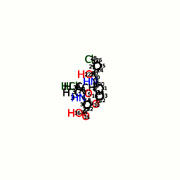 CC(C)(C)C(=O)Nc1cc(Oc2ccc3c(c2)C[C@@H](NC[C@H](O)c2cccc(Cl)c2)CC3)cc(C(=O)O)c1.Cl